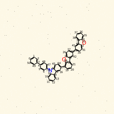 c1ccc(-c2ccc(-n3c4ccccc4c4cc(-c5cccc6c5oc5ccc(-c7ccc8oc9ccccc9c8c7)cc56)ccc43)cc2)cc1